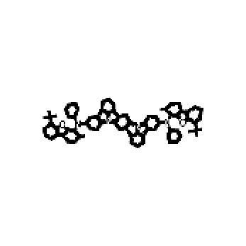 Cc1ccc2c(oc3c(C(C)(C)C)cccc32)c1N(c1ccccc1)c1ccc2c(c1)c1cccc3c4cc5c(cc4n2c13)c1cccc2c3cc(N(c4ccccc4)c4c(C)ccc6c4oc4c(C(C)(C)C)cccc46)ccc3n5c21